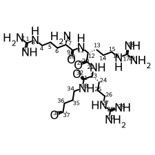 N=C(N)NCCC[C@@H](N)C(=O)N[C@H](CCCNC(=N)N)C(=O)N[C@H](CCCNC(=N)N)C(=O)NCCC[C]=O